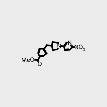 COC(=O)c1ccc(CC2CCN(c3ccc([N+](=O)[O-])nc3)CC2)cc1